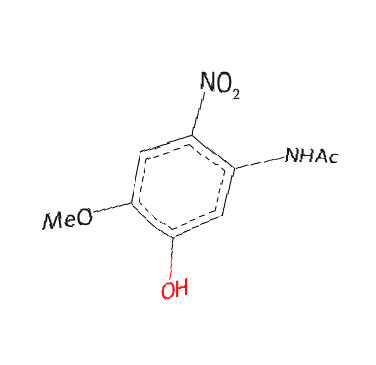 COc1cc([N+](=O)[O-])c(NC(C)=O)cc1O